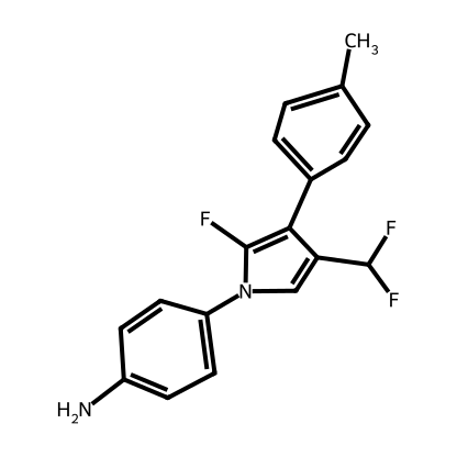 Cc1ccc(-c2c(C(F)F)cn(-c3ccc(N)cc3)c2F)cc1